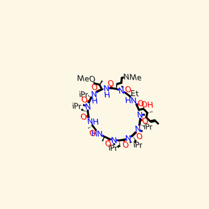 C/C=C/C[C@@H](C)[C@@H](O)[C@H]1C(=O)N[C@@H](CC)C(=O)N(C)[C@H](CCCNC)C(=O)N[C@@H]([C@H](C)COC)C(=O)N[C@@H](C(C)C)C(=O)N(C)[C@@H](CC(C)C)C(=O)N[C@@H](C)C(=O)N[C@H](C)C(=O)N(C)[C@@H](CC(C)C)C(=O)N(C)[C@@H](CC(C)C)C(=O)N(C)[C@@H](C(C)C)C(=O)N1C